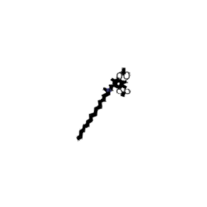 CCCCCCCCCCCCCCCC/C(C)=C/Cc1c(C)c(OC(C)=O)c(C)c(C)c1OC(C)=O